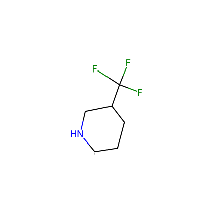 FC(F)(F)C1CC[CH]NC1